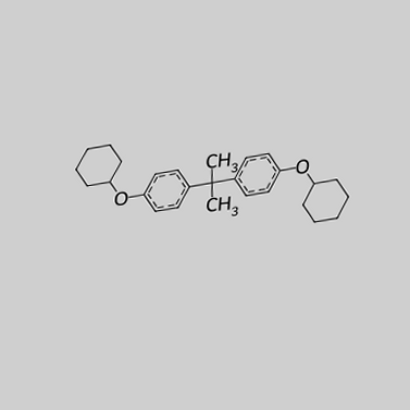 CC(C)(c1ccc(OC2CCCCC2)cc1)c1ccc(OC2CCCCC2)cc1